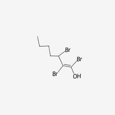 CCCCC(Br)/C(Br)=C(/O)Br